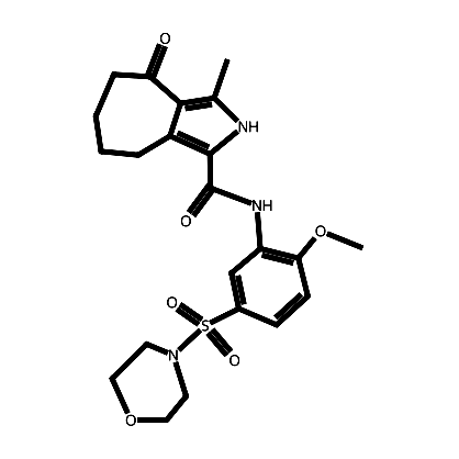 COc1ccc(S(=O)(=O)N2CCOCC2)cc1NC(=O)c1[nH]c(C)c2c1CCCCC2=O